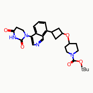 CC(C)(C)OC(=O)N1CCC(OC2CC(c3cccc4c(N5CCC(=O)NC5=O)cncc34)C2)CC1